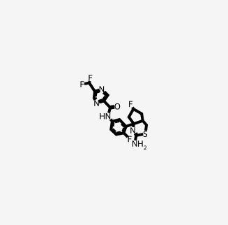 NC1=NC2(c3cc(NC(=O)c4cnc(C(F)F)cn4)ccc3F)CC(F)CC2CS1